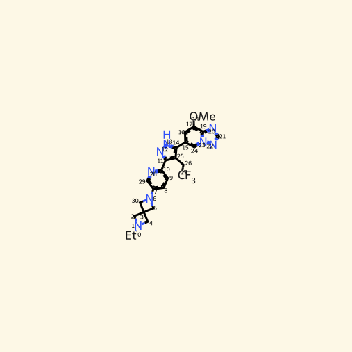 CCN1CC2(C1)CN(c1ccc(-c3n[nH]c(-c4cc(OC)c5ncnn5c4)c3CC(F)(F)F)nc1)C2